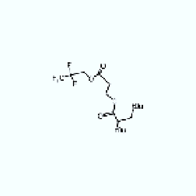 CC(C)(C)CC(C(=O)OCCC(=O)OCC(F)(F)C(F)(F)F)C(C)(C)C